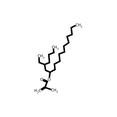 C=C(C)C(=O)OC(CCCCCCCCCCC)CC(CC)CCCC